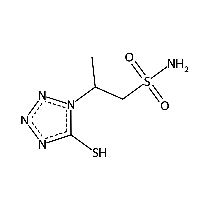 CC(CS(N)(=O)=O)n1nnnc1S